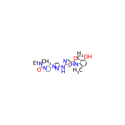 CCN(C)C(=O)N1CC[C@@H](n2ccc(Nc3ncc(C(=O)Nc4c(C)ccc(O)c4C)s3)n2)C1